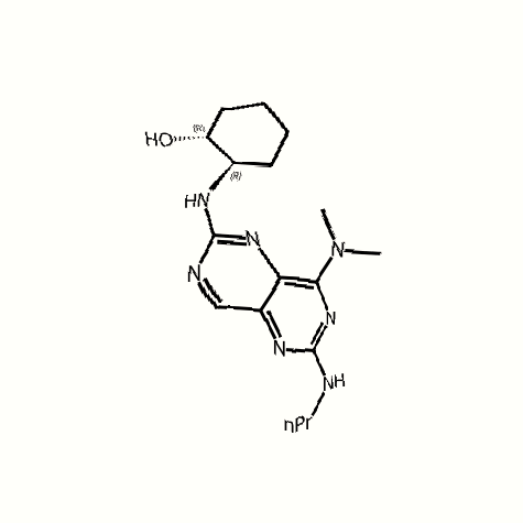 CCCNc1nc(N(C)C)c2nc(N[C@@H]3CCCC[C@H]3O)ncc2n1